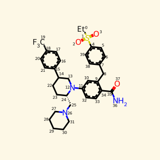 CCS(=O)(=O)c1ccc(Cc2cc(N3CC(c4ccc(C(F)(F)F)cc4)CC[C@H]3CN3CCCCC3)ccc2C(N)=O)cc1